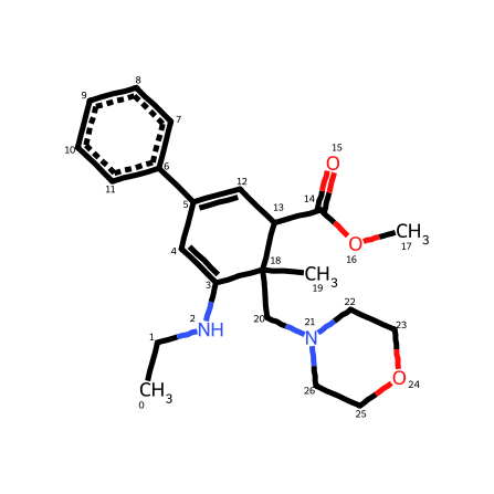 CCNC1=CC(c2ccccc2)=CC(C(=O)OC)C1(C)CN1CCOCC1